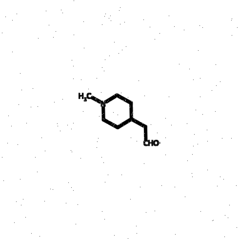 CN1CCC(C[C]=O)CC1